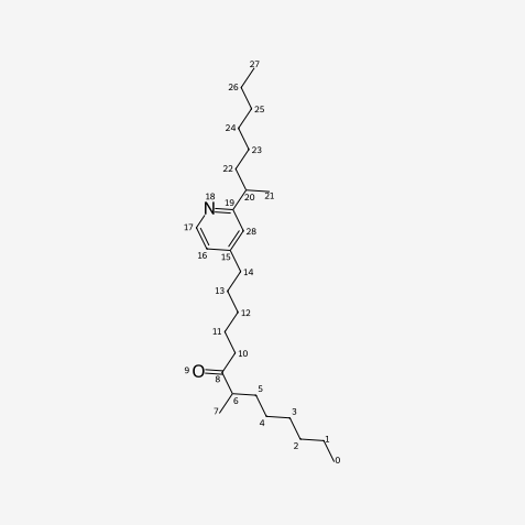 CCCCCCC(C)C(=O)CCCCCc1ccnc(C(C)CCCCCC)c1